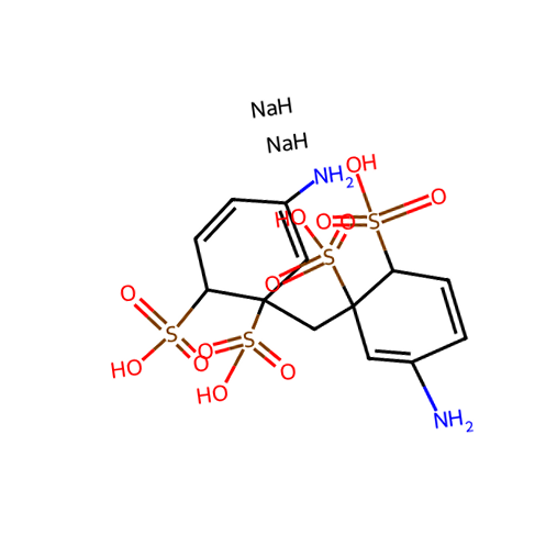 NC1=CC(CC2(S(=O)(=O)O)C=C(N)C=CC2S(=O)(=O)O)(S(=O)(=O)O)C(S(=O)(=O)O)C=C1.[NaH].[NaH]